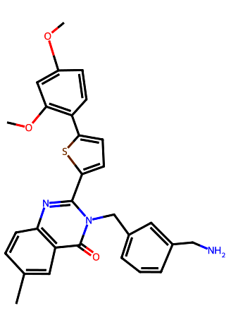 COc1ccc(-c2ccc(-c3nc4ccc(C)cc4c(=O)n3Cc3cccc(CN)c3)s2)c(OC)c1